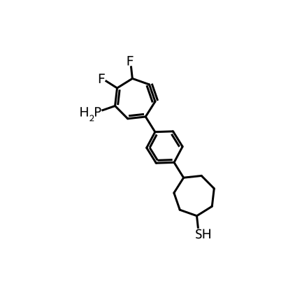 FC1=C(P)C=C(C2=C=C=C(C3CCCC(S)CC3)C=C2)C#CC1F